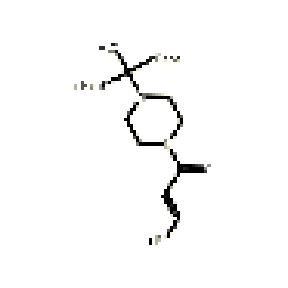 CCC/C=C/C(=O)N1CCN(C(C)(CCCCC)CCCCC)CC1